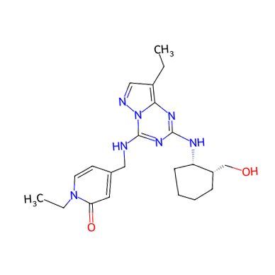 CCc1cnn2c(NCc3ccn(CC)c(=O)c3)nc(N[C@H]3CCCC[C@H]3CO)nc12